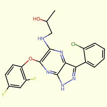 CC(O)CNc1nc2c(-c3ccccc3Cl)n[nH]c2nc1Oc1ccc(F)cc1F